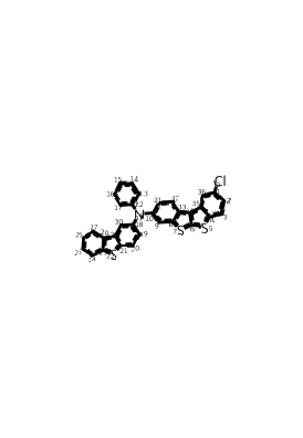 Clc1ccc2sc3sc4cc(N(c5ccccc5)c5ccc6sc7ccccc7c6c5)ccc4c3c2c1